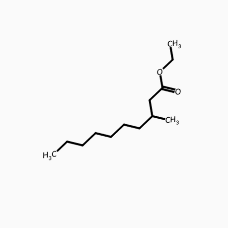 CCCCCCCC(C)CC(=O)OCC